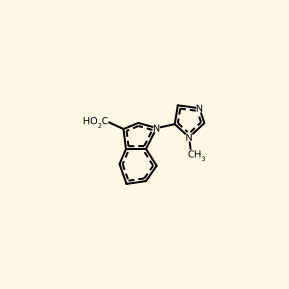 Cn1cncc1-n1cc(C(=O)O)c2ccccc21